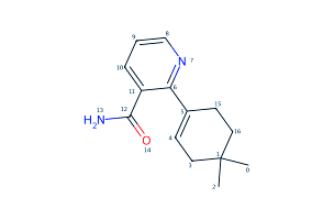 CC1(C)CC=C(c2ncccc2C(N)=O)CC1